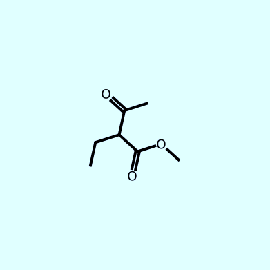 CCC(C(C)=O)C(=O)OC